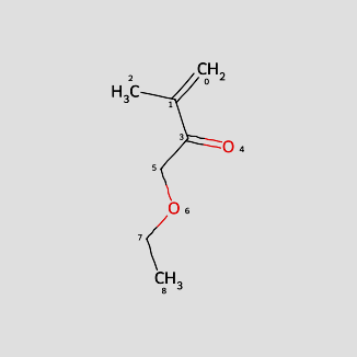 C=C(C)C(=O)COCC